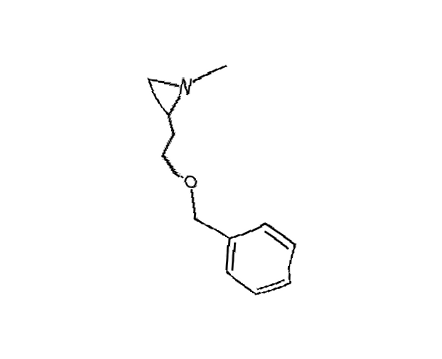 CN1CC1COCc1ccccc1